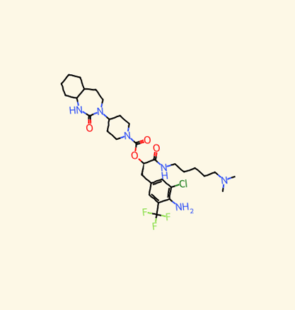 CN(C)CCCCCNC(=O)[C@@H](Cc1cc(Cl)c(N)c(C(F)(F)F)c1)OC(=O)N1CCC(N2CCC3CCCCC3NC2=O)CC1